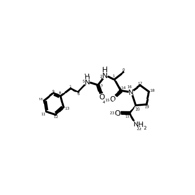 CC(NC(=O)NCCc1ccccc1)C(=O)N1CCC[C@H]1C(N)=O